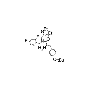 CCOC(CN(Cc1ccc(F)cc1F)C(=O)C(N)Cc1ccc(OC(C)(C)C)cc1)OCC